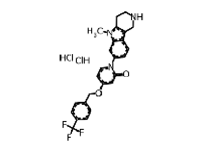 Cl.Cl.Cn1c2c(c3ccc(-n4ccc(OCc5ccc(C(F)(F)F)cc5)cc4=O)cc31)CNCC2